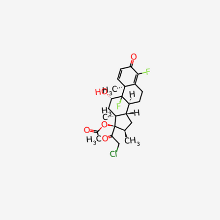 CC(=O)O[C@]1(C(=O)CCl)[C@H](C)C[C@H]2[C@@H]3CCC4=C(F)C(=O)C=C[C@]4(C)[C@@]3(F)[C@@H](O)C[C@@]21C